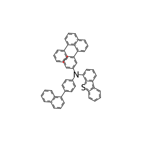 c1ccc(-c2cccc3cccc(-c4cccc(N(c5ccc(-c6cccc7ccccc67)cc5)c5cccc6c5sc5ccccc56)c4)c23)cc1